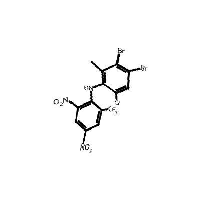 Cc1c(Br)c(Br)cc(Cl)c1Nc1c([N+](=O)[O-])cc([N+](=O)[O-])cc1C(F)(F)F